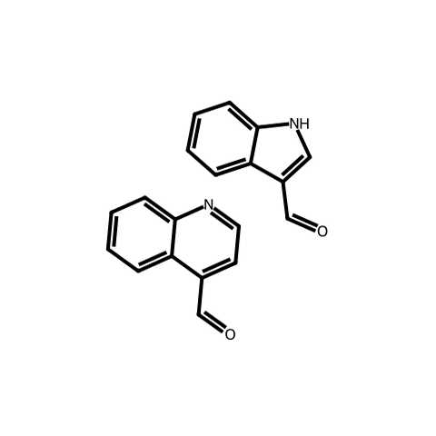 O=Cc1c[nH]c2ccccc12.O=Cc1ccnc2ccccc12